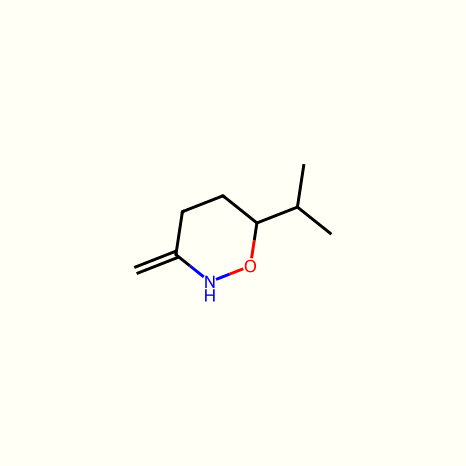 C=C1CCC(C(C)C)ON1